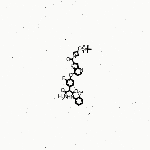 COc1ccccc1NC(=O)C(C(N)=O)c1ccc(Oc2ccnc3cc(C(=O)N4CC(O[Si](C)(C)C(C)(C)C)C4)sc23)c(F)c1